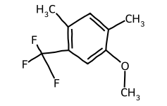 COc1cc(C(F)(F)F)c(C)cc1C